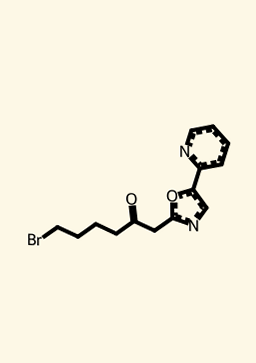 O=C(CCCCBr)Cc1ncc(-c2ccccn2)o1